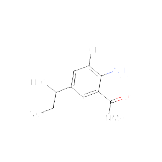 CNC(=O)c1cc(C(C)CC#N)cc(C)c1N